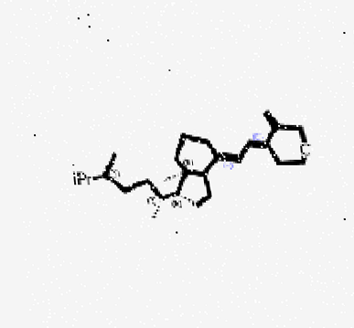 C=C1CCCC/C1=C\C=C1/CCC[C@@]2(C)C1CC[C@@H]2[C@H](C)CC[C@H](C)C(C)C